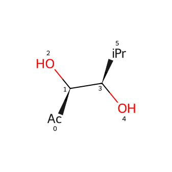 CC(=O)[C@@H](O)[C@H](O)C(C)C